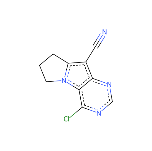 N#Cc1c2n(c3c(Cl)ncnc13)CCC2